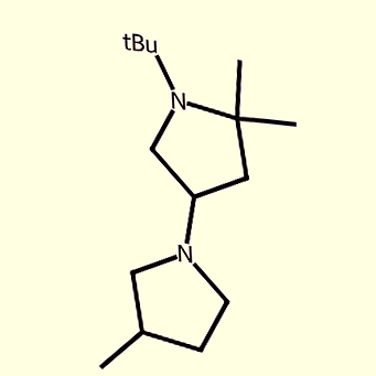 CC1CCN(C2CN(C(C)(C)C)C(C)(C)C2)C1